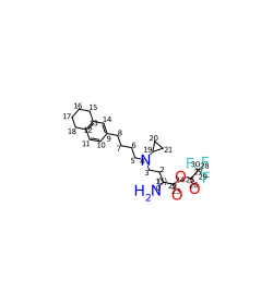 N[C@@H](CCN(CCCCc1ccc2c(c1)CCCC2)C1CC1)C(=O)OC(=O)C(F)(F)F